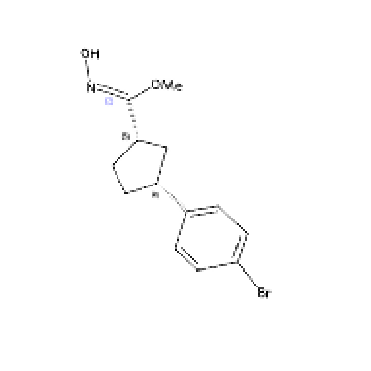 CO/C(=N\O)[C@H]1CC[C@@H](c2ccc(Br)cc2)C1